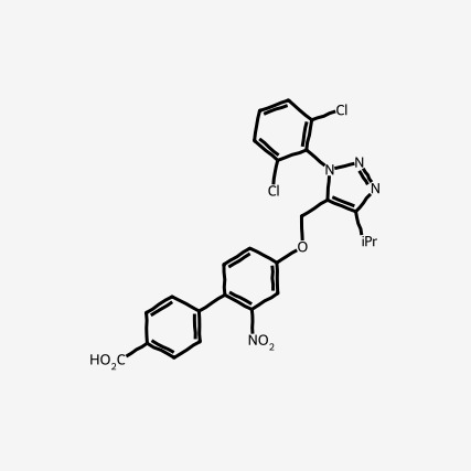 CC(C)c1nnn(-c2c(Cl)cccc2Cl)c1COc1ccc(-c2ccc(C(=O)O)cc2)c([N+](=O)[O-])c1